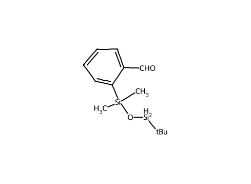 CC(C)(C)[SiH2]O[Si](C)(C)c1ccccc1C=O